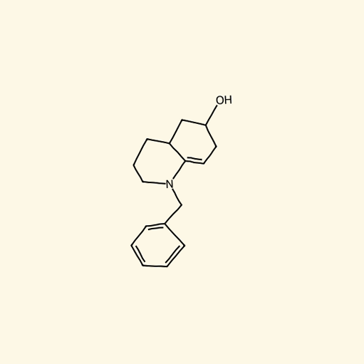 OC1CC=C2C(CCCN2Cc2ccccc2)C1